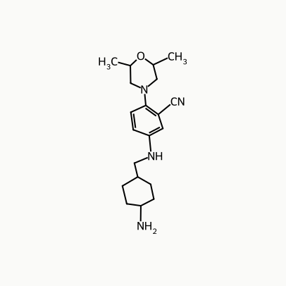 CC1CN(c2ccc(NCC3CCC(N)CC3)cc2C#N)CC(C)O1